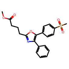 COC(=O)CCCc1nc(-c2ccccc2)c(-c2ccc(S(C)(=O)=O)cc2)o1